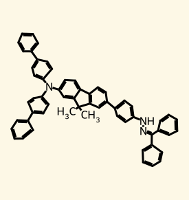 CC1(C)c2cc(-c3ccc(NN=C(c4ccccc4)c4ccccc4)cc3)ccc2-c2ccc(N(c3ccc(-c4ccccc4)cc3)c3ccc(-c4ccccc4)cc3)cc21